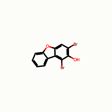 Oc1c(Br)cc2oc3ccccc3c2c1Br